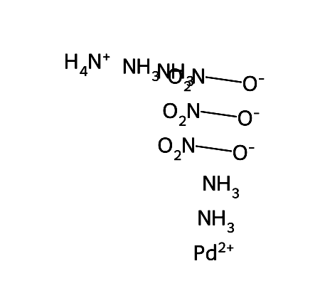 N.N.N.N.O=[N+]([O-])[O-].O=[N+]([O-])[O-].O=[N+]([O-])[O-].[NH4+].[Pd+2]